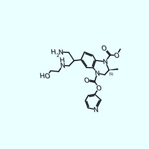 COC(=O)N1c2ccc(C(CN)CNCCO)cc2N(C(=O)Oc2cccnc2)C[C@@H]1C